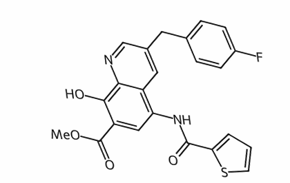 COC(=O)c1cc(NC(=O)c2cccs2)c2cc(Cc3ccc(F)cc3)cnc2c1O